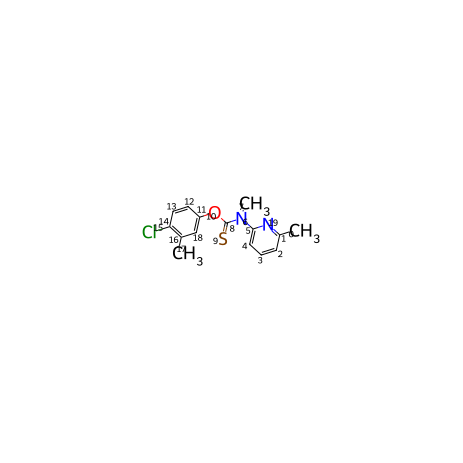 Cc1cccc(N(C)C(=S)Oc2ccc(Cl)c(C)c2)n1